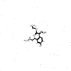 CCOC(=O)/C(=N/O)c1ccc(F)cc1CCNC